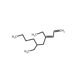 C=C/C=C(\CC)CC(CC)CCCC